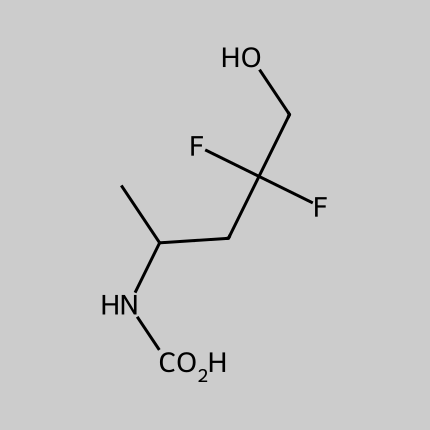 CC(CC(F)(F)CO)NC(=O)O